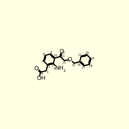 Nc1c(CC(=O)O)cccc1C(=O)COCc1ccccc1